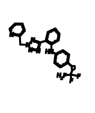 FC(F)(P)Oc1ccc(Nc2ccccc2-c2nnn(Cc3ccccn3)n2)cc1